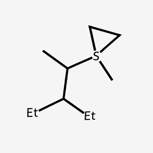 CCC(CC)C(C)S1(C)CC1